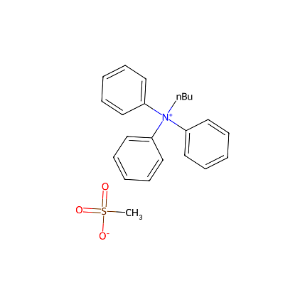 CCCC[N+](c1ccccc1)(c1ccccc1)c1ccccc1.CS(=O)(=O)[O-]